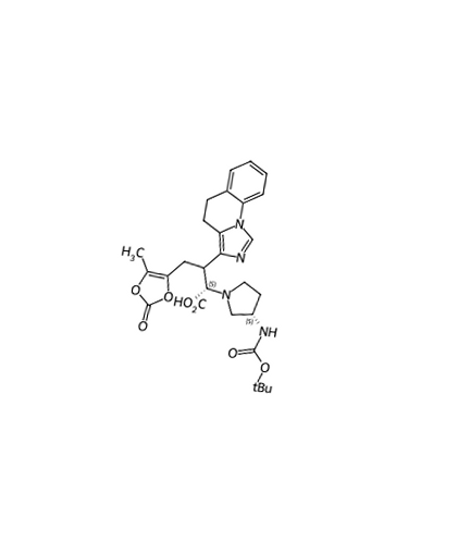 Cc1oc(=O)oc1CC(c1ncn2c1CCc1ccccc1-2)[C@@H](C(=O)O)N1CC[C@H](NC(=O)OC(C)(C)C)C1